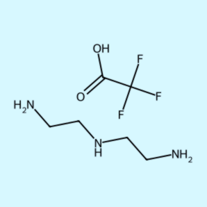 NCCNCCN.O=C(O)C(F)(F)F